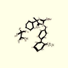 CCCCC1=NC(C)(C2CCCCC2)C(=O)N1Cc1ccc(-c2ccccc2C(=O)O)cc1.O=C(O)C(F)(F)F